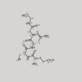 CC(C)C[C@@H](NC(=O)[C@@H](N)CCC(=O)O)C(=O)N[C@@H](CC(N)=O)C(=O)NCC(=O)NCC(=O)O